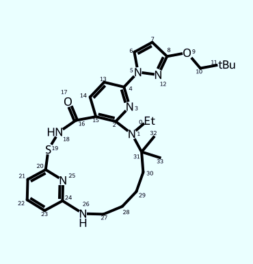 CCN1c2nc(-n3ccc(OCC(C)(C)C)n3)ccc2C(=O)NSc2cccc(n2)NCCCCC1(C)C